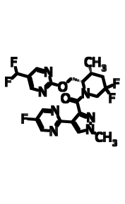 C[C@@H]1CC(F)(F)CN(C(=O)c2nn(C)cc2-c2ncc(F)cn2)[C@@H]1COc1ncc(C(F)F)cn1